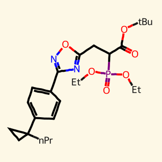 CCCC1(c2ccc(-c3noc(CC(C(=O)OC(C)(C)C)P(=O)(OCC)OCC)n3)cc2)CC1